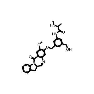 CNC(C)C(=O)Nc1cc(CO)cc(COc2cc3c(cc2OC)C(=O)N2c4ccccc4CC2C=N3)c1